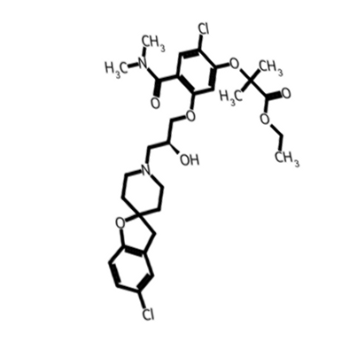 CCOC(=O)C(C)(C)Oc1cc(OC[C@@H](O)CN2CCC3(CC2)Cc2cc(Cl)ccc2O3)c(C(=O)N(C)C)cc1Cl